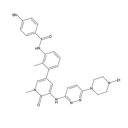 CCN1CCN(c2ccc(Nc3cc(-c4cccc(NC(=O)c5ccc(C(C)(C)C)cc5)c4C)cn(C)c3=O)nn2)CC1